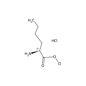 CCCC[C@H](N)C(=O)OCl.Cl